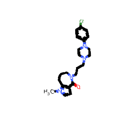 Cn1ccc2c1CCCN(CCCN1CCN(c3ccc(Cl)cc3)CC1)C2=O